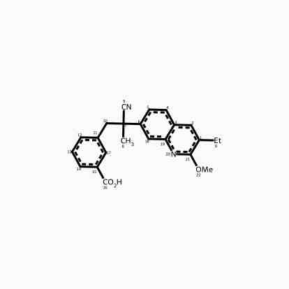 CCc1cc2ccc(C(C)(C#N)Cc3cccc(C(=O)O)c3)cc2nc1OC